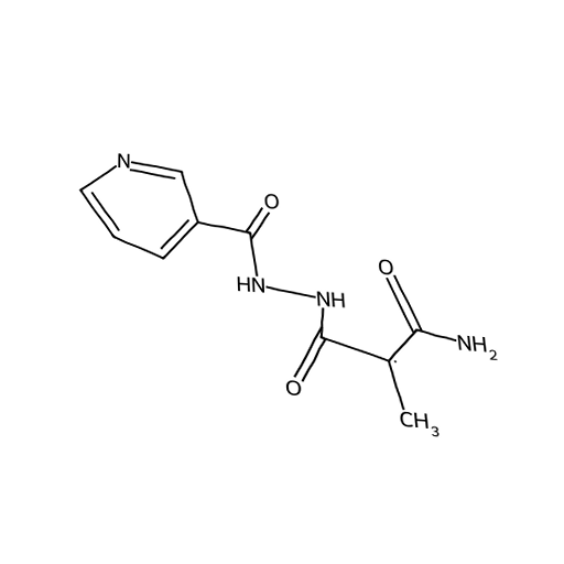 C[C](C(N)=O)C(=O)NNC(=O)c1cccnc1